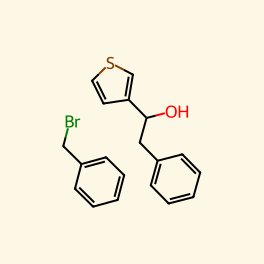 BrCc1ccccc1.OC(Cc1ccccc1)c1ccsc1